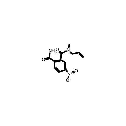 C=CCN(C)C(=O)c1cc([N+](=O)[O-])ccc1C(N)=O